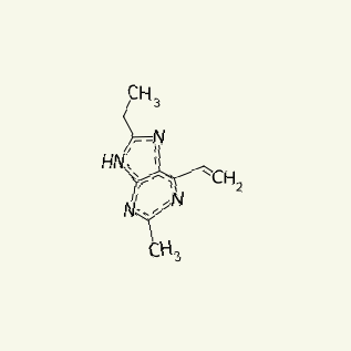 C=Cc1nc(C)nc2[nH]c(CC)nc12